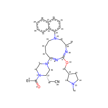 CCC(=O)N1CCN(/C2=N/C(OCC3CCN(C)C3)=N\C(C)CN(c3cccc4ccccc34)CCC2)C[C@@H]1CC#N